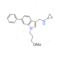 COCCCn1cc(CNC2CC2)c2ccc(-c3ccccc3)cc21